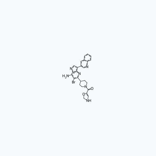 Nc1c(Br)c(C2CCN(C(=O)C3=CNCO3)CC2)nc2c(-c3cnc4ccccc4c3)cnn12